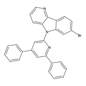 Brc1ccc2c3ncccc3n(-c3cc(-c4ccccc4)cc(-c4ccccc4)n3)c2c1